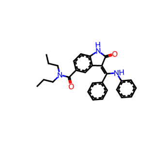 CCCN(CCC)C(=O)c1ccc2c(c1)/C(=C(/Nc1ccccc1)c1ccccc1)C(=O)N2